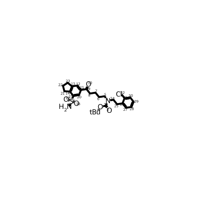 CC(C)(C)OC(=O)N(CCCCC(=O)c1cc2c(c(S(N)(=O)=O)c1)CCC2)CCc1ccccc1Cl